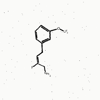 NC/C(F)=C\Cc1cccc(OC(F)(F)F)c1